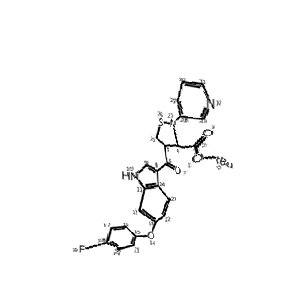 CC(C)(C)OC(=O)C1C(C(=O)c2c[nH]c3cc(Oc4ccc(F)cc4)ccc23)CSN1c1cccnc1